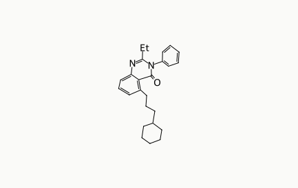 CCc1nc2cccc(CCCC3CCCCC3)c2c(=O)n1-c1ccccc1